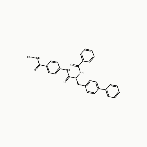 O=C(NO)c1ccc(NC(=O)[C@H](Cc2ccc(-c3ccccc3)cc2)NC(=O)c2ccccc2)cc1